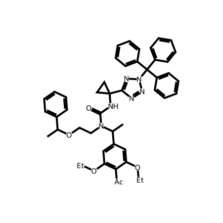 CCOc1cc(C(C)N(CCOC(C)c2ccccc2)C(=O)NC2(c3nnn(C(c4ccccc4)(c4ccccc4)c4ccccc4)n3)CC2)cc(OCC)c1C(C)=O